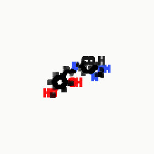 O=C(O)[C@H](Cc1c[nH]cn1)N=CCc1ccc(O)cc1O